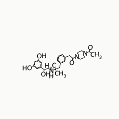 CC(=O)N1CCN(C(=O)Cc2cccc(CC(C)(C)NCC(O)c3cc(O)cc(O)c3)c2)CC1